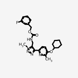 Cc1nc(-c2nnn(C)c2CNC(=O)OCc2cccc(F)c2)ccc1OC1CCCCC1